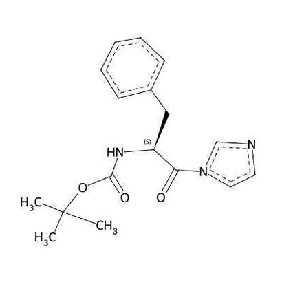 CC(C)(C)OC(=O)N[C@@H](Cc1ccccc1)C(=O)n1ccnc1